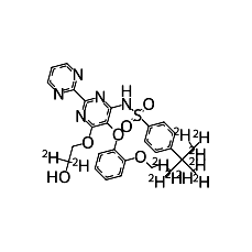 [2H]C([2H])(O)COc1nc(-c2ncccn2)nc(NS(=O)(=O)c2ccc(C(C([2H])([2H])[2H])(C([2H])([2H])[2H])C([2H])([2H])[2H])cc2)c1Oc1ccccc1OCC